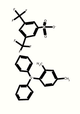 Cc1ccc([S+](c2ccccc2)c2ccccc2)c(C)c1.O=S(=O)([O-])c1cc(C(F)(F)F)cc(C(F)(F)F)c1